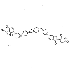 N#Cc1c[nH]c2c(N3CCC[C@@H](c4ccc(N5CC6(CCC(CN7CCN(c8ccc9c(c8)CN(C8CCC(=O)NC8=O)C9=O)CC7)CC6)C5)cc4)C3)ccc(Cl)c12